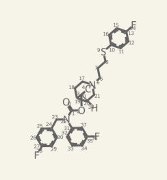 O=C(O[C@H]1C[N+]2(CCCSc3ccc(F)cc3)CCC1CC2)N(Cc1ccc(F)cc1)c1cccc(F)c1